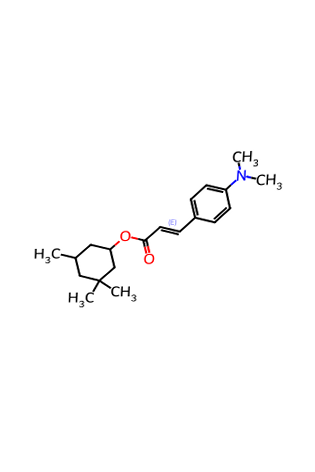 CC1CC(OC(=O)/C=C/c2ccc(N(C)C)cc2)CC(C)(C)C1